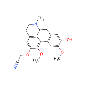 COc1cc2c(cc1O)CC1c3c(cc(OCC#N)c(OC)c3-2)CCN1C